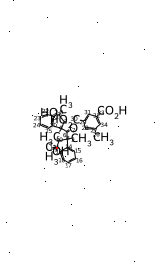 CC(O)CC(C)(C(=O)C(C)(CC(C)O)c1ccccc1)c1ccccc1.Cc1cc(C(=O)O)cc(C(=O)O)c1